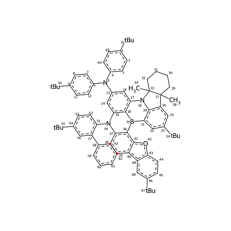 CC(C)(C)c1ccc(N(c2ccc(C(C)(C)C)cc2)c2cc3c4c(c2)N2c5c(cc(C(C)(C)C)cc5C5(C)CCCCC25C)B4c2c(ccc4c2oc2ccc(C(C)(C)C)cc24)N3c2ccc(C(C)(C)C)cc2-c2ccccc2)cc1